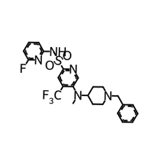 CN(c1cnc(S(=O)(=O)Nc2cccc(F)n2)cc1C(F)(F)F)C1CCN(Cc2ccccc2)CC1